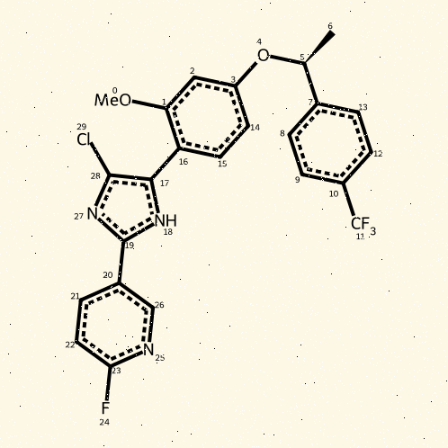 COc1cc(O[C@@H](C)c2ccc(C(F)(F)F)cc2)ccc1-c1[nH]c(-c2ccc(F)nc2)nc1Cl